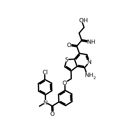 CN(C(=O)c1cccc(OCc2csc3c(C(=O)C(=N)CCO)cnc(N)c23)c1)c1ccc(Cl)cc1